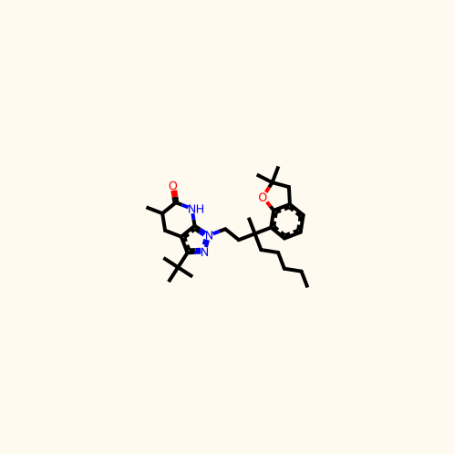 CCCCCC(C)(CCn1nc(C(C)(C)C)c2c1NC(=O)C(C)C2)c1cccc2c1OC(C)(C)C2